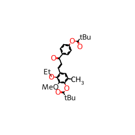 CCOc1c(C=CC(=O)c2ccc(OC(=O)C(C)(C)C)cc2)cc(C)c(OC(=O)C(C)(C)C)c1OC